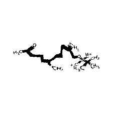 CC(=O)CCC=C(C)CCC=C(C)CO[Si](C)(C)C(C)(C)C